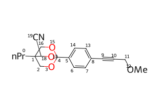 CCCC12COC(c3ccc(C#CCOC)cc3)(OC1)OC2C#N